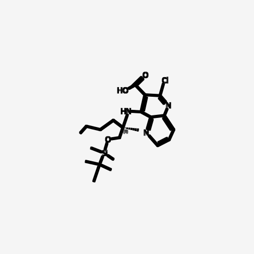 CCCC[C@](C)(CO[Si](C)(C)C(C)(C)C)Nc1c(C(=O)O)c(Cl)nc2cccnc12